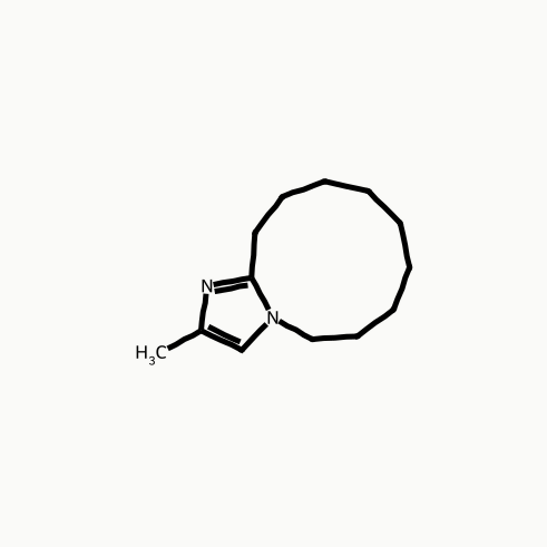 Cc1cn2c(n1)CCCCCCCCC2